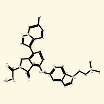 Cc1ccc2c(-c3ccc(Nc4cc5ccn(CCN(C)C)c5cn4)c4c3CN(C(=O)OC(C)(C)C)C4=O)cnn2c1